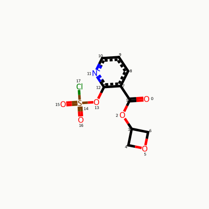 O=C(OC1COC1)c1cccnc1OS(=O)(=O)Cl